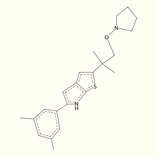 Cc1cc(C)cc(-c2cc3cc(C(C)(C)CON4CCCC4)sc3[nH]2)c1